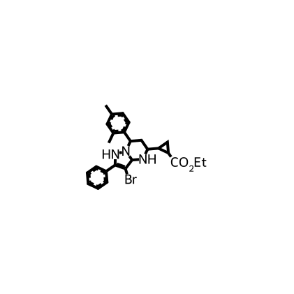 CCOC(=O)C1CC1C1CC(c2ccc(C)cc2C)N2NC(c3ccccc3)=C(Br)C2N1